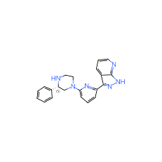 c1ccc([C@H]2CN(c3cccc(-c4n[nH]c5ncccc45)n3)CCN2)cc1